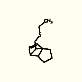 CCSCC1C2C=CC3C2CCC31